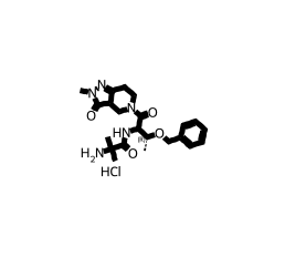 C[C@@H](OCc1ccccc1)C(NC(=O)C(C)(C)N)C(=O)N1CCC2=NN(C)C(=O)C2C1.Cl